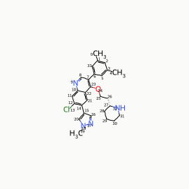 Cc1cc(C)cc(-c2cnc3cc(Cl)c(-c4cnn(C)c4)cc3c2OCC[C@H]2CCCCN2)c1